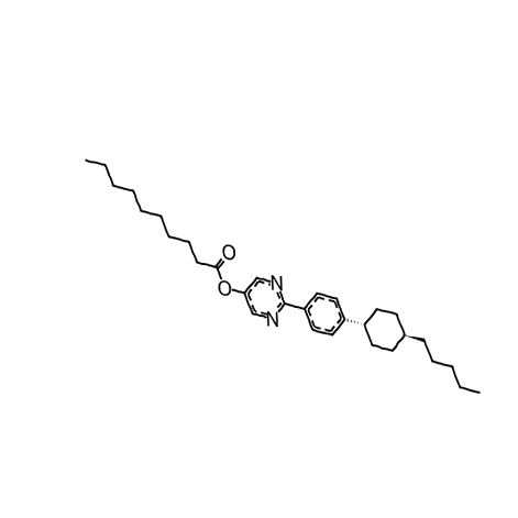 CCCCCCCCCC(=O)Oc1cnc(-c2ccc([C@H]3CC[C@H](CCCCC)CC3)cc2)nc1